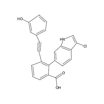 O=C(O)c1cccc(C#Cc2cccc(O)c2)c1-c1ccc2c(Cl)c[nH]c2c1